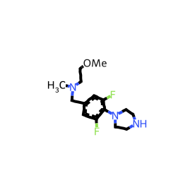 COCCN(C)Cc1cc(F)c(N2CCNCC2)c(F)c1